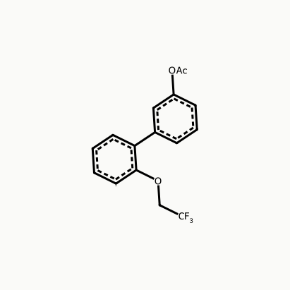 CC(=O)Oc1cccc(-c2ccc[c]c2OCC(F)(F)F)c1